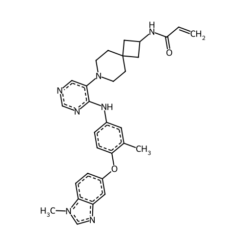 C=CC(=O)NC1CC2(CCN(c3cncnc3Nc3ccc(Oc4ccc5c(c4)ncn5C)c(C)c3)CC2)C1